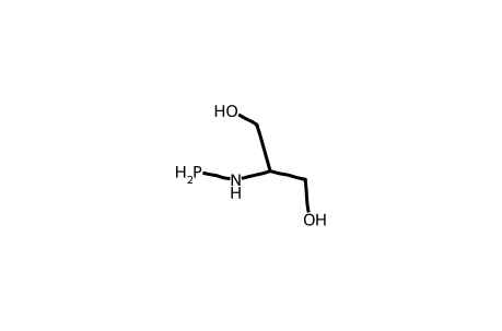 OCC(CO)NP